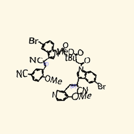 COC(=O)CC(=O)n1cc(/C(C#N)=C/c2cnccc2OC)c2cc(Br)ccc21.COc1ccc(C#N)cc1/C=C(\C#N)c1cn(C(=O)C(C)(C)C)c2ccc(Br)cc12